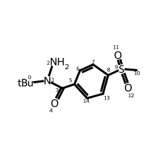 CC(C)(C)N(N)C(=O)c1ccc(S(C)(=O)=O)cc1